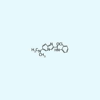 CN(C)c1ccc2nc(C(=O)Nc3ccccc3Cl)cn2c1